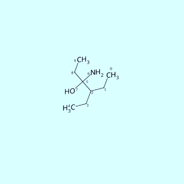 CC[C](CC)C(N)(O)CC